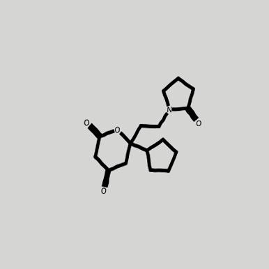 O=C1CC(=O)OC(CCN2CCCC2=O)(C2CCCC2)C1